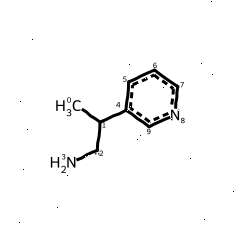 CC([C]N)c1cccnc1